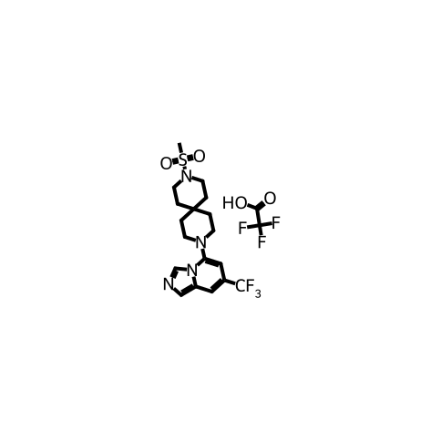 CS(=O)(=O)N1CCC2(CCN(c3cc(C(F)(F)F)cc4cncn34)CC2)CC1.O=C(O)C(F)(F)F